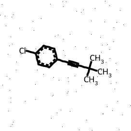 CC(C)(C)C#Cc1ccc(Cl)cc1